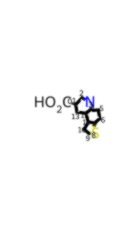 O=C(O)c1cnc2ccc3sccc3c2c1